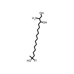 CCC(C)(O)CCCCCCCCCCCCC(O)C(N)CO